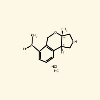 CCN(C)c1cccc2c1CO[C@]1(C)CNC[C@H]21.Cl.Cl